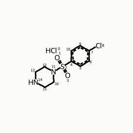 Cl.O=S(=O)(c1ccc(Cl)cc1)N1CCNCC1